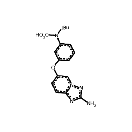 CC(C)(C)N(C(=O)O)c1cccc(Oc2ccc3nc(N)nn3c2)c1